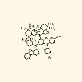 CC(C)c1ccc(N2c3ccc(C(C)C)cc3B3c4sc5c(c4N(c4ccc6c(c4)C(C)(C)CCC6(C)C)c4cc(N(c6ccccc6)c6cccc7c6oc6ccccc67)cc2c43)C(C)(C)CCC5(C)C)cc1